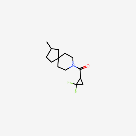 CC1CCC2(CCN(C(=O)C3CC3(F)F)CC2)C1